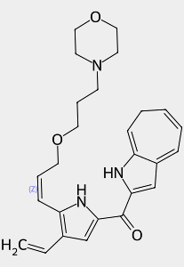 C=Cc1cc(C(=O)c2cc3c([nH]2)=CCC=CC=3)[nH]c1/C=C\COCCCN1CCOCC1